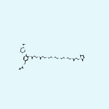 CC(C)(C)C(=O)OCc1ccc(O[C@@H]2O[C@H](C(=O)O)[C@@H](O)[C@H](O)[C@H]2O)c(NC(=O)CCNC(=O)CCOCCOCCOCCOCCNC(=O)CCN2C(=O)C=CC2=O)c1